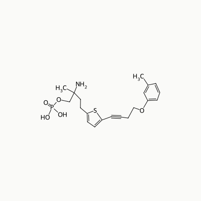 Cc1cccc(OCCC#Cc2ccc(CCC(C)(N)COP(=O)(O)O)s2)c1